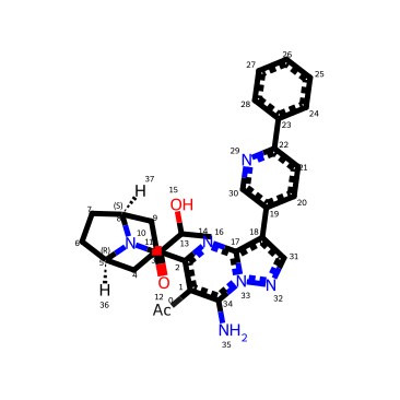 CC(=O)c1c(C2C[C@H]3CC[C@@H](C2)N3C(=O)C(C)O)nc2c(-c3ccc(-c4ccccc4)nc3)cnn2c1N